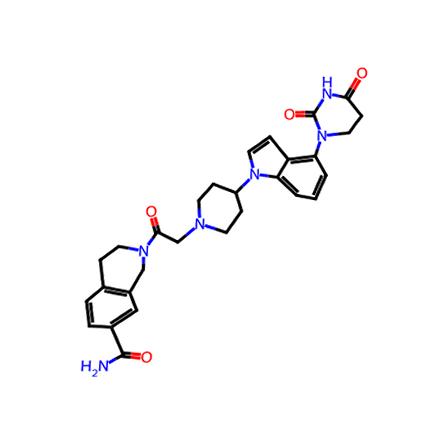 NC(=O)c1ccc2c(c1)CN(C(=O)CN1CCC(n3ccc4c(N5CCC(=O)NC5=O)cccc43)CC1)CC2